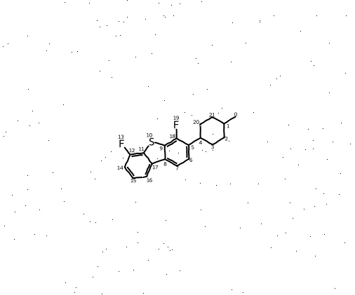 CC1CCC(c2ccc3c(sc4c(F)cccc43)c2F)CC1